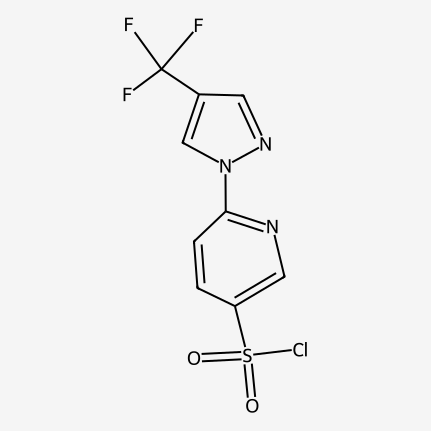 O=S(=O)(Cl)c1ccc(-n2cc(C(F)(F)F)cn2)nc1